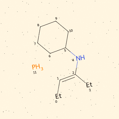 CCC=C(CC)NC1CCCCC1.P